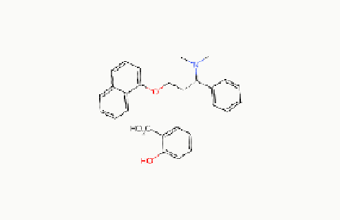 CN(C)[C@@H](CCOc1cccc2ccccc12)c1ccccc1.O=C(O)c1ccccc1O